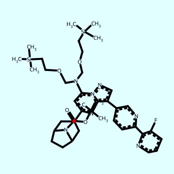 CC(C)(C)OC(=O)N1C2CCC1CC(c1cc(N(COCC[Si](C)(C)C)COCC[Si](C)(C)C)n3ncc(-c4ccc(-c5ncccc5F)nc4)c3n1)C2